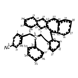 N#Cc1ccc(C[S+](Cc2ccccc2-c2c3ccccc3cc3cc4ccccc4cc23)c2ccccc2)cc1